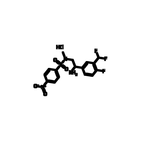 CN(CC(N)c1ccc(F)c(C(F)F)c1)S(=O)(=O)c1ccc([N+](=O)[O-])cc1.Cl